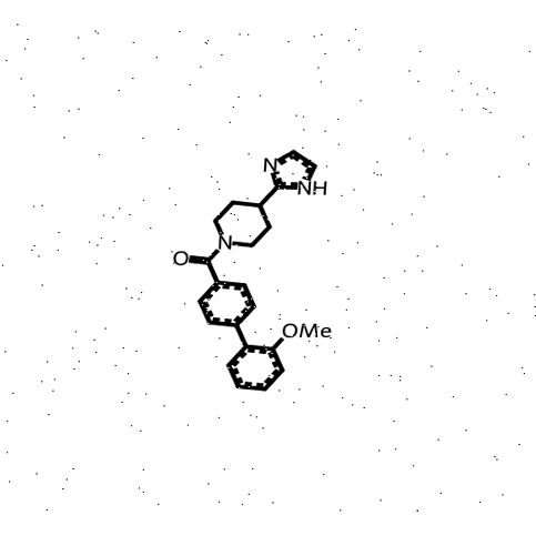 COc1ccccc1-c1ccc(C(=O)N2CCC(c3ncc[nH]3)CC2)cc1